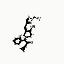 O=C(O)Cn1ncc(/C=C2/CN(C(C(=O)C3CC3)c3ccccc3F)CCC2S)n1